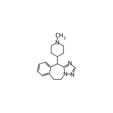 CN1CCC(C2c3ccccc3CCn3ncnc32)CC1